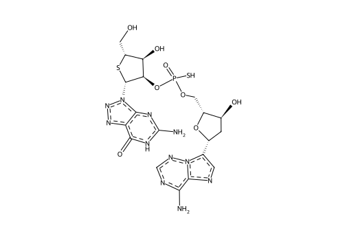 Nc1nc2c(nnn2[C@@H]2S[C@H](CO)[C@@H](O)[C@H]2OP(=O)(S)OC[C@H]2O[C@@H](c3cnc4c(N)ncnn34)C[C@@H]2O)c(=O)[nH]1